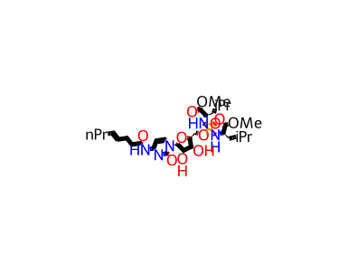 CCC/C=C/CCC(=O)Nc1ccn([C@@H]2O[C@H](COP(=O)(N[C@@H](CC(C)C)C(=O)OC)N[C@@H](CC(C)C)C(=O)OC)[C@@H](O)[C@@H]2O)c(=O)n1